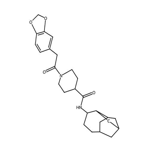 O=C(NC1CCC2CC3CC(C2)C1C3)C1CCN(C(=O)Cc2ccc3c(c2)OCO3)CC1